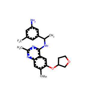 COc1cc2nc(C)nc(NC(C)c3cc(N)cc(C(F)(F)F)c3)c2cc1OC1CCOC1